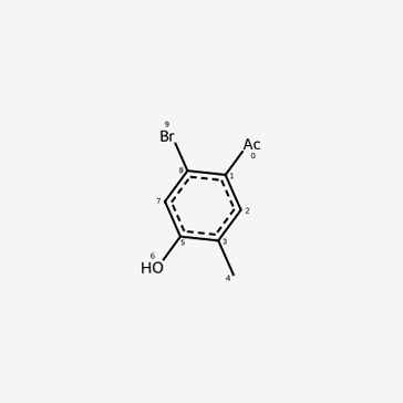 CC(=O)c1cc(C)c(O)cc1Br